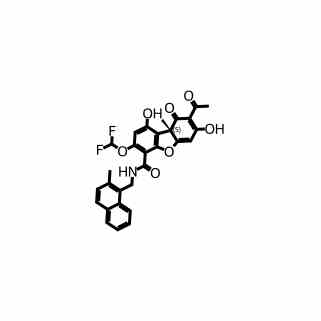 CC(=O)C1=C(O)C=C2Oc3c(C(=O)NCc4c(C)ccc5ccccc45)c(OC(F)F)cc(O)c3[C@]2(C)C1=O